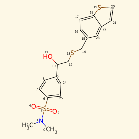 CN(C)S(=O)(=O)c1ccc(C(O)CSCc2ccc3sccc3c2)cc1